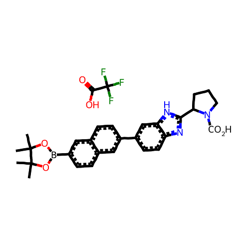 CC1(C)OB(c2ccc3cc(-c4ccc5nc(C6CCCN6C(=O)O)[nH]c5c4)ccc3c2)OC1(C)C.O=C(O)C(F)(F)F